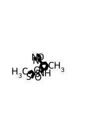 Cc1cc(NS(=O)(=O)c2csc(C)c2)cc(-c2nnco2)c1